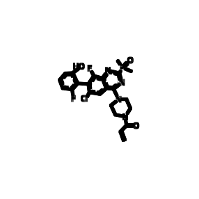 C=CC(=O)N1CCN(c2nc(P(C)(C)=O)nc3c(F)c(-c4c(O)cccc4F)c(Cl)cc23)CC1